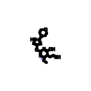 C/C=C1/N=C(Oc2c[nH]c(N3CCOCC3)n2)N=C(O)C1CC=N